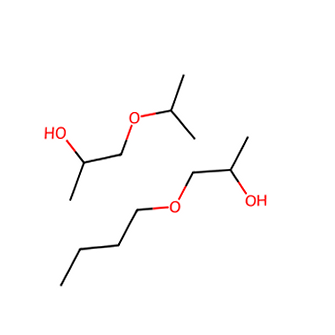 CC(O)COC(C)C.CCCCOCC(C)O